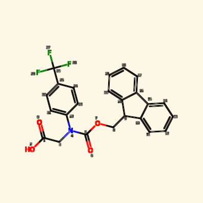 O=C(O)CN(C(=O)OCC1c2ccccc2-c2ccccc21)c1ccc(C(F)(F)F)cc1